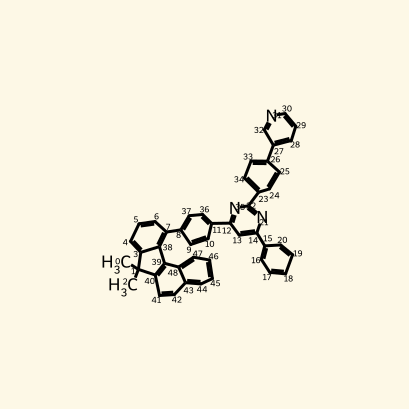 CC1(C)c2cccc(-c3ccc(-c4cc(-c5ccccc5)nc(-c5ccc(-c6cccnc6)cc5)n4)cc3)c2-c2c1ccc1ccccc21